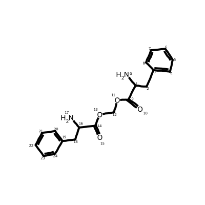 NC(Cc1ccccc1)C(=O)OCOC(=O)C(N)Cc1ccccc1